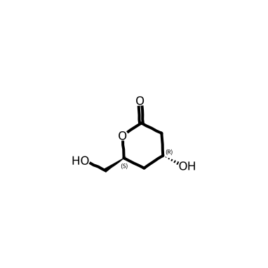 O=C1C[C@H](O)C[C@@H](CO)O1